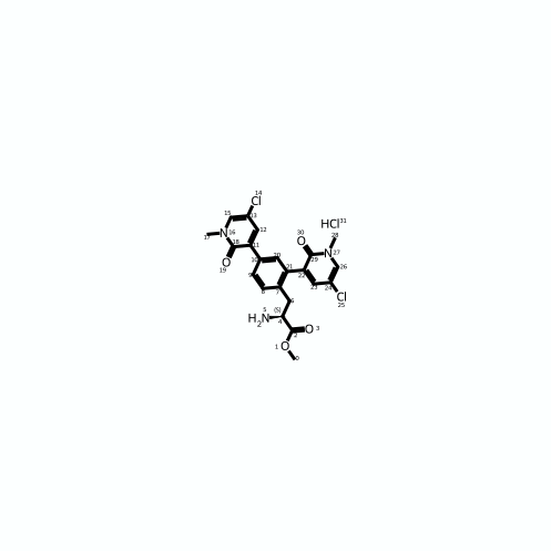 COC(=O)[C@@H](N)Cc1ccc(-c2cc(Cl)cn(C)c2=O)cc1-c1cc(Cl)cn(C)c1=O.Cl